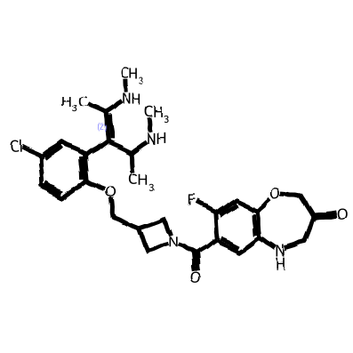 CN/C(C)=C(/c1cc(Cl)ccc1OCC1CN(C(=O)c2cc3c(cc2F)OCC(=O)CN3)C1)C(C)NC